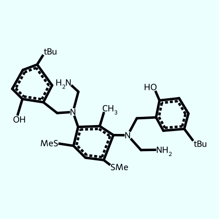 CSc1cc(SC)c(N(CN)Cc2cc(C(C)(C)C)ccc2O)c(C)c1N(CN)Cc1cc(C(C)(C)C)ccc1O